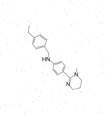 CCc1ccc(CNc2ccc(C3=NCCCN3C)cc2)cc1